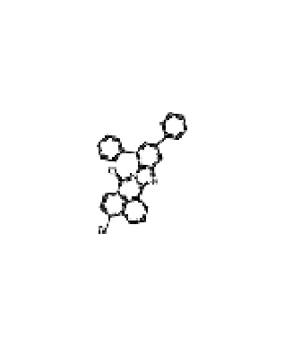 O=c1c2ccc(Br)c3cccc(c32)c2nc3cc(-c4ccccc4)cc(-c4ccccc4)c3n12